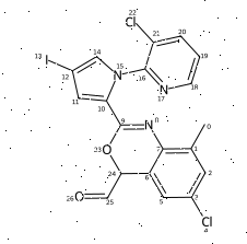 Cc1cc(Cl)cc2c1N=C(c1cc(I)cn1-c1ncccc1Cl)OC2C=O